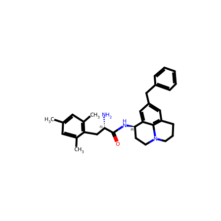 Cc1cc(C)c(C[C@H](N)C(=O)N[C@@H]2CCN3CCCc4cc(Cc5ccccc5)cc2c43)c(C)c1